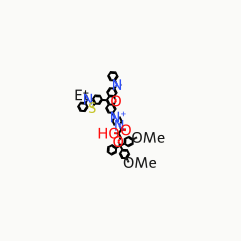 CCN1c2ccccc2Sc2cc(-c3c4ccc(=[N+]5CCN(C(=O)C(O)COC(c6ccccc6)(c6ccc(OC)cc6)c6ccc(OC)cc6)CC5)cc-4oc4cc(N(C)c5ccccc5)ccc34)ccc21